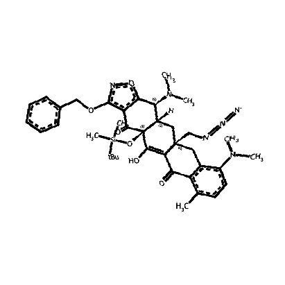 Cc1ccc(N(C)C)c2c1C(=O)C1=C(O)[C@]3(O[Si](C)(C)C(C)(C)C)C(=O)c4c(OCc5ccccc5)noc4[C@@H](N(C)C)[C@@H]3C[C@]1(CN=[N+]=[N-])C2